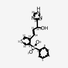 O=S(=O)(c1ccccc1)c1cscc1C=CC(O)c1nc[nH]n1